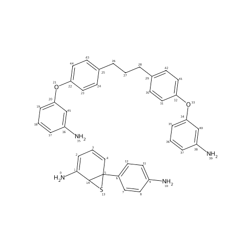 NC1=CC=CC2(c3ccc(N)cc3)SC12.Nc1cccc(Oc2ccc(CCCc3ccc(Oc4cccc(N)c4)cc3)cc2)c1